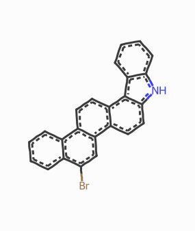 Brc1cc2c(ccc3c2ccc2[nH]c4ccccc4c23)c2ccccc12